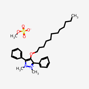 CCCCCCCCCCCCOc1c(-c2ccccc2)n(C)[n+](C)c1-c1ccccc1.COS(=O)(=O)[O-]